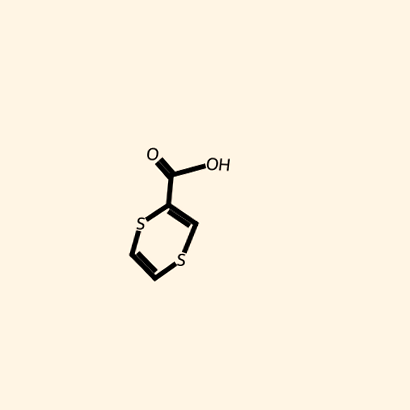 O=C(O)C1=CSC=CS1